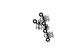 O=C(Nc1ccccc1)Nc1cc(NC(=O)Nc2ccccc2)cc(OS(=O)(=O)c2cccc(NC(=O)Nc3ccccc3)c2)c1